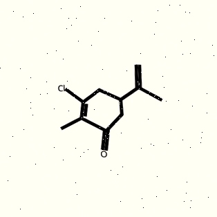 C=C(C)C1CC(=O)C(C)=C(Cl)C1